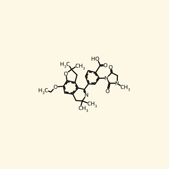 CCOc1cc2c(c3c1OC(C)(C)C3)C(c1ccc(C(=O)O)c(N3C(=O)CN(C)C3=O)c1)=NC(C)(C)C2